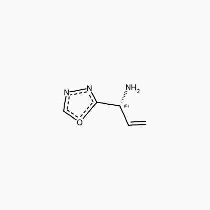 C=C[C@@H](N)c1nnco1